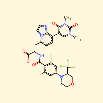 Cn1cc(-c2ccc(C[C@H](NC(=O)c3c(F)cc(N4CCOC[C@@H]4C(F)(F)F)cc3F)C(=O)O)n3ccnc23)c(=O)n(C)c1=O